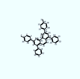 Cc1ccc(-c2cc(-c3ccccc3)c3ccc4c(-c5ccccc5)cc(-c5ccc(C)cc5)nc4c3n2)cc1